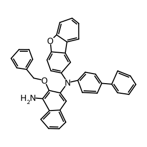 Nc1c(OCc2ccccc2)c(N(c2ccc(-c3ccccc3)cc2)c2ccc3oc4ccccc4c3c2)cc2ccccc12